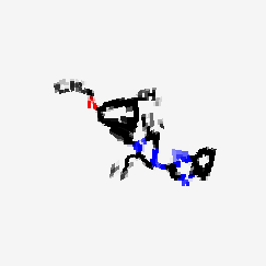 Cc1cc(CN2C(C)CN(c3cnc4ccccc4n3)CC2C)cc(OCC=O)c1